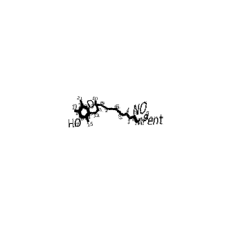 CCCCC/C=C(/CCCCCCC1(C)CCc2c(C)c(O)c(C)c(C)c2O1)[N+](=O)[O-]